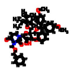 COc1ccc(C(OC[C@@]2(CO[Si](C(C)C)(C(C)C)C(C)C)O[C@@H](n3ccc(=O)n(COCc4ccccc4)c3=O)[C@H](O)[C@@H]2O)(c2ccccc2)c2ccc(OC)cc2)cc1